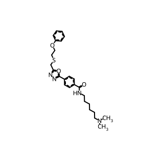 CN(C)CCCCCCNC(=O)c1ccc(-c2nnc(CSCCOc3ccccc3)o2)cc1